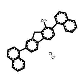 [Cl-].[Cl-].[Zr+2][c]1c(-c2cccc3ccccc23)ccc2c1Cc1cc(-c3cccc4ccccc34)ccc1-2